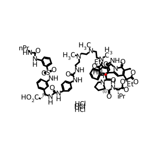 CCCNC(=O)Nc1cccc(S(=O)(=O)Nc2cccc([C@@H](CC(=O)O)NC(=O)Nc3ccc(NC(=O)NCCN(C)CCN(C)CCN(C)CC(=O)N[C@@H](CC(N)=O)C(=O)N4CCC[C@H]4C(=O)N[C@H](C(=O)O[C@]4(CC)C(=O)OCc5c4cc4n(c5=O)Cc5c-4nc4ccccc4c5CC)C(C)C)cc3)c2)c1.Cl.Cl.Cl